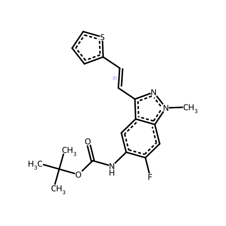 Cn1nc(/C=C/c2cccs2)c2cc(NC(=O)OC(C)(C)C)c(F)cc21